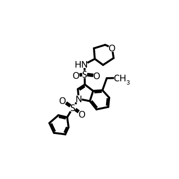 CCc1cccc2c1c(S(=O)(=O)NC1CCOCC1)cn2S(=O)(=O)c1ccccc1